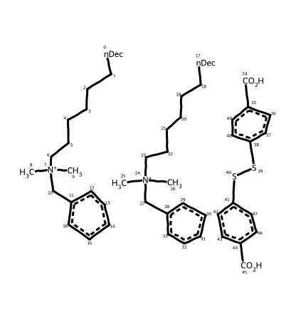 CCCCCCCCCCCCCCCC[N+](C)(C)Cc1ccccc1.CCCCCCCCCCCCCCCC[N+](C)(C)Cc1ccccc1.O=C(O)c1ccc(SSc2ccc(C(=O)O)cc2)cc1